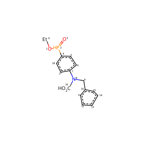 CCO[PH](=O)c1ccc(N(Cc2ccccc2)C(=O)O)cc1